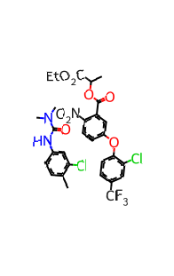 CCOC(=O)C(C)OC(=O)c1cc(Oc2ccc(C(F)(F)F)cc2Cl)ccc1[N+](=O)[O-].Cc1ccc(NC(=O)N(C)C)cc1Cl